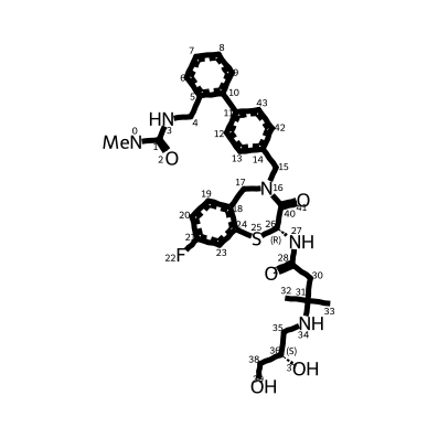 CNC(=O)NCc1ccccc1-c1ccc(CN2Cc3ccc(F)cc3S[C@@H](NC(=O)CC(C)(C)NC[C@H](O)CO)C2=O)cc1